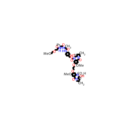 C=C1C[C@H]2[C@H](O)N(C(=O)O)c3cc(OCCCOc4cc5c(cc4OC)C(=O)N4CC(=C)C[C@H]4[C@H](O)N5C(=O)OCc4ccc(NC(=O)C(C)NC(=O)C(NC(=O)CCOCCOC)C(C)C)cc4)c(OC)cc3C(=O)N2C1